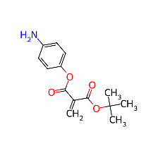 C=C(C(=O)Oc1ccc(N)cc1)C(=O)OC(C)(C)C